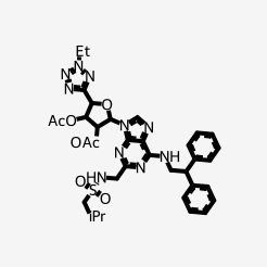 CCn1nnc(C2OC(n3cnc4c(NCC(c5ccccc5)c5ccccc5)nc(CNS(=O)(=O)CC(C)C)nc43)C(OC(C)=O)C2OC(C)=O)n1